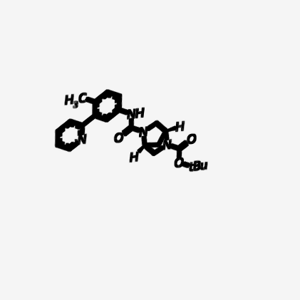 Cc1ccc(NC(=O)N2C[C@H]3C[C@@H]2CN3C(=O)OC(C)(C)C)cc1-c1ccccn1